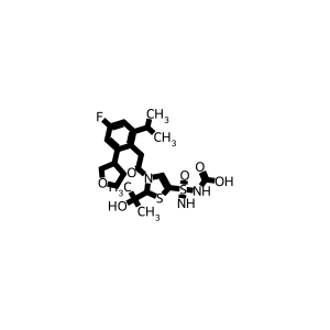 CC(C)c1cc(F)cc(C2CCOC2)c1CC(=O)N1C=C(S(=N)(=O)NC(=O)O)SC1C(C)(C)O